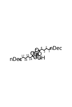 CCCCCCCCCCCCCCC(=O)OP(=O)(O)OC(=O)CCCCCCCCCCCCCC